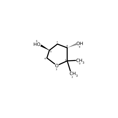 CC1(C)OC[C@@H](O)C[C@@H]1O